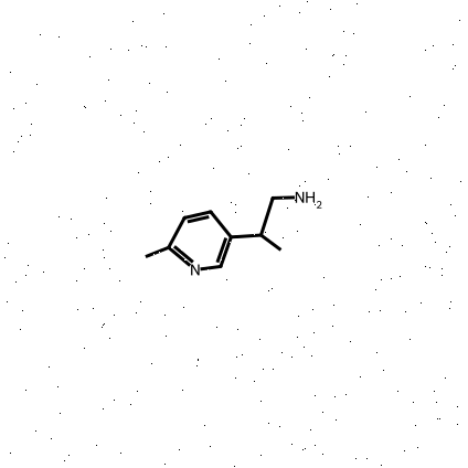 Cc1ccc(C(C)CN)cn1